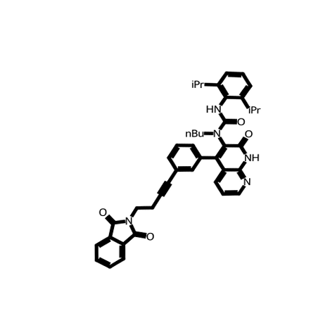 CCCCN(C(=O)Nc1c(C(C)C)cccc1C(C)C)c1c(-c2cccc(C#CCCN3C(=O)c4ccccc4C3=O)c2)c2cccnc2[nH]c1=O